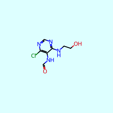 O=CNc1c(Cl)ncnc1NCCO